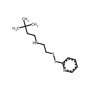 CC(C)(C)CCNCCSSc1ccccn1